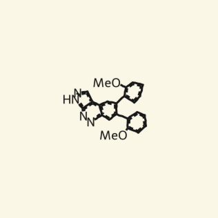 COc1ccccc1-c1cc2nnc3[nH]ncc3c2cc1-c1ccccc1OC